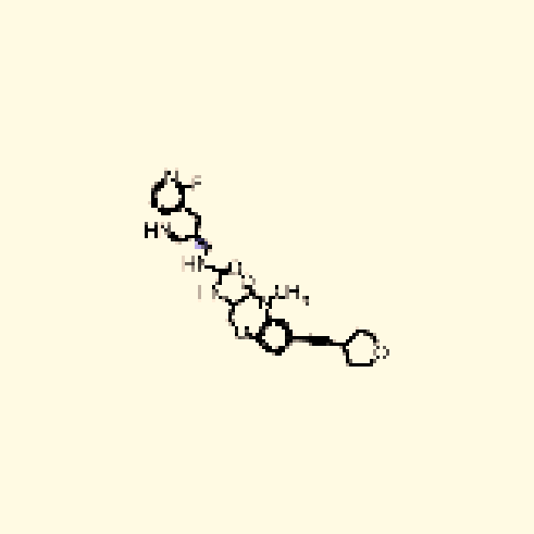 CN1C(=O)C(NC(=O)N/C=C(\C=N)Cc2cccnc2F)COc2ccc(C#CC3CCOCC3)cc21